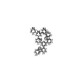 c1cncc(-c2cc(-c3cccc(-c4cc(-c5cccc6c5oc5ccccc56)cc(-c5cccc6c5oc5ccccc56)c4)n3)cc(-c3cccnc3)n2)c1